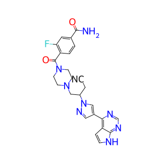 N#CCC(CN1CCN(C(=O)c2ccc(C(N)=O)cc2F)CC1)n1cc(-c2ncnc3[nH]ccc23)cn1